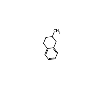 C[C]1CCc2ccccc2C1